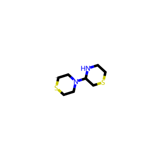 [CH]1CN(C2CSCCN2)CCS1